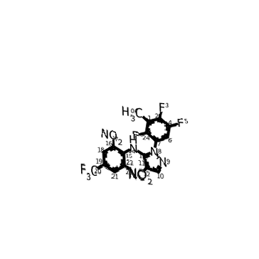 Cc1c(F)c(F)cc(-n2ncc(C#N)c2Nc2c([N+](=O)[O-])cc(C(F)(F)F)cc2[N+](=O)[O-])c1F